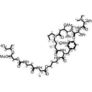 CC[C@H](C)[C@@H]([C@@H](CC(=O)N1CCC[C@H]1[C@H](OC)[C@@H](C)C(=O)N[C@@H](Cc1ccccc1)C(=O)NCCCOC(=O)[C@H](C)NC(=O)CCNC(=O)OCC(OC)OC(C)CO)OC)N(C)C(=O)[C@@H](NC(=O)[C@H](C(C)C)N(C)C)C(C)C